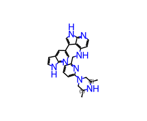 C[C@@H]1CN(c2cccc(CNc3ccnc4[nH]cc(-c5cnc6[nH]ccc6c5)c34)n2)C[C@H](C)N1